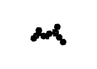 c1ccc(-c2ccc(-c3nc(-c4ccccc4)nc(-c4ccc5c(c4)oc4ccc(-n6c7ccccc7c7cc8ccccc8cc76)cc45)n3)cc2)cc1